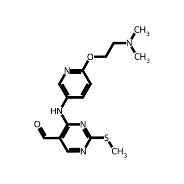 CSc1ncc(C=O)c(Nc2ccc(OCCN(C)C)nc2)n1